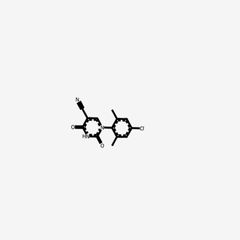 Cc1cc(Cl)cc(C)c1-n1cc(C#N)c(=O)[nH]c1=O